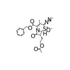 CC(=O)OCC[C@H]1C(=O)N2C(C(=O)OCc3ccccc3)=C(C)C(=[N+]=[N-])[S@+]([O-])[C@@H]12